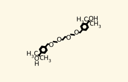 CC(C)(O)c1ccc(COCCOCCOCCOCc2ccc(C(C)(C)O)cc2)cc1